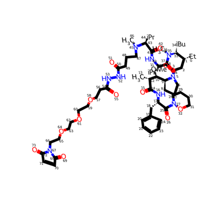 CC[C@H](CC(=O)N1CCC[C@H]1[C@H](OC)[C@@H](C)C(=O)N[C@@H](Cc1ccccc1)C(=O)N1CCCCO1)[C@H]([C@@H](C)CC)N(C)C(=O)[C@@H](NC(=O)[C@H](C(C)C)N(C)CCCC(=O)NNC(=O)CCOCCOCCOCCN1C(=O)C=CC1=O)C(C)C